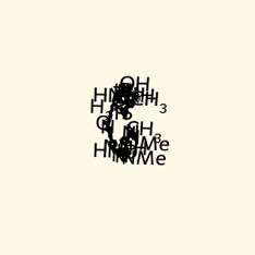 CNC(=O)c1nnc(Nc2ccc(C#CC3CN(C(=O)CCCCCCCCC(=O)NC(C(=O)N4C[C@H](O)C[C@H]4C(=O)N[C@@H](C)c4ccc(-c5scnc5C)cc4)C(C)(C)C)C3)cn2)cc1Nc1cccc(-c2ncn(C)n2)c1OC